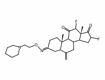 C=C1CC2C(C(=O)C(F)[C@]3(C)C(=O)C(F)CC23)[C@@]2(C)CCC(=NOCCN3CCCCC3)CC12